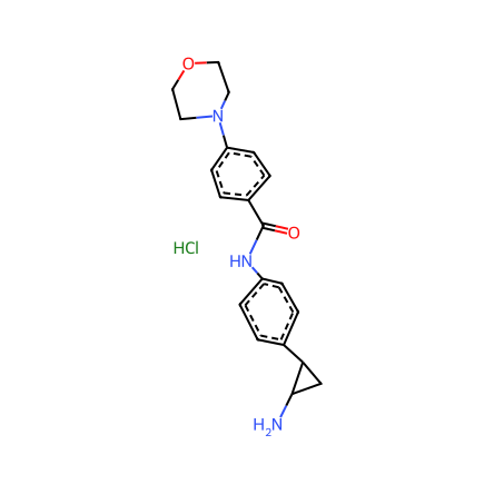 Cl.NC1CC1c1ccc(NC(=O)c2ccc(N3CCOCC3)cc2)cc1